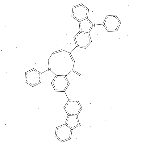 C=C1/C=C(c2ccc3c(c2)c2ccccc2n3-c2ccccc2)\C=C/CN(c2ccccc2)c2ccc(-c3ccc4sc5ccccc5c4c3)cc21